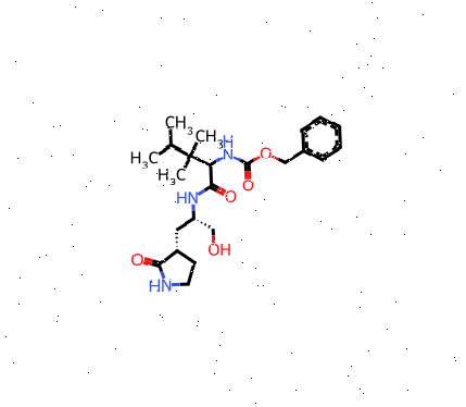 CC(C)C(C)(C)C(NC(=O)OCc1ccccc1)C(=O)N[C@H](CO)C[C@@H]1CCNC1=O